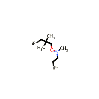 CC(C)CCN(C)OCC(C)(C)CC(C)C